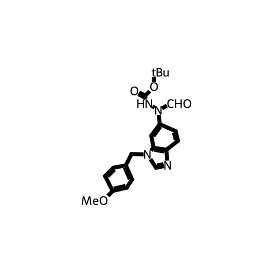 COc1ccc(Cn2cnc3ccc(N(C=O)NC(=O)OC(C)(C)C)cc32)cc1